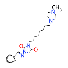 CN1CCN(CCCCCCCCN2C(=O)CN(N=Cc3ccccc3)C2=O)CC1